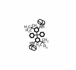 CC(C)(C)c1cc(NC23CC4CC(CC(C4)C2)C3)cc(C(c2ccccc2)(c2ccccc2)c2cc(NC34CC5CC(CC(C5)C3)C4)cc(C(C)(C)C)c2)c1